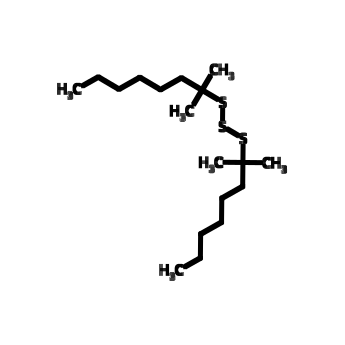 CCCCCCC(C)(C)SSSC(C)(C)CCCCCC